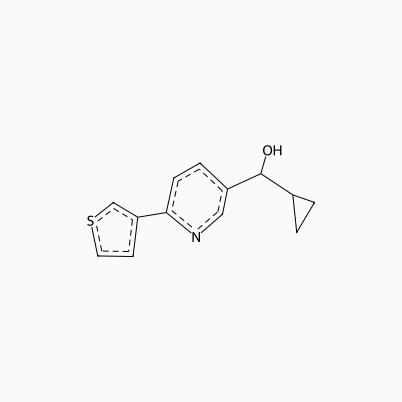 OC(c1ccc(-c2ccsc2)nc1)C1CC1